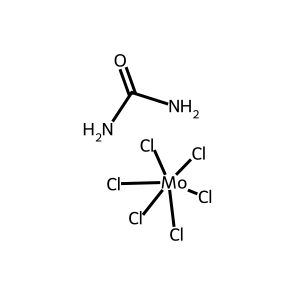 NC(N)=O.[Cl][Mo]([Cl])([Cl])([Cl])([Cl])[Cl]